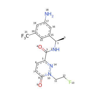 C[C@@H](NC(=O)c1ccc(=O)n(CCF)n1)c1cc(N)cc(C(F)(F)F)c1